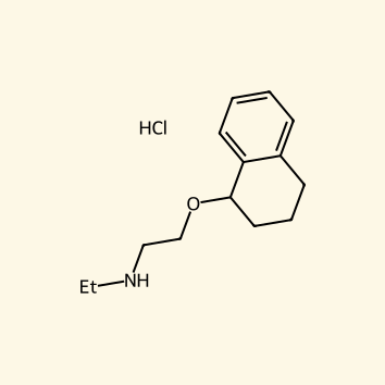 CCNCCOC1CCCc2ccccc21.Cl